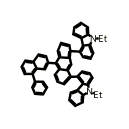 CCn1c2ccccc2c2c(-c3cccc4c(-c5ccc6cccc(-c7ccccc7)c6c5)c5cccc(-c6cccc7c6c6ccccc6n7CC)c5cc34)cccc21